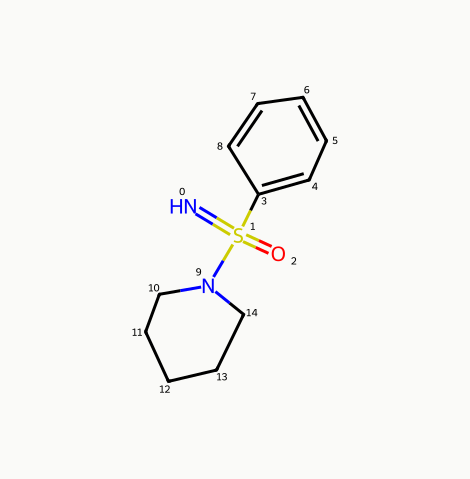 N=S(=O)(c1ccccc1)N1CCCCC1